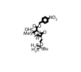 CSC1(C=O)S[C@@H]2[C@@H](CCO[Si](C)(C)C(C)(C)C)C(=O)N2C1C(=O)OCc1ccc([N+](=O)[O-])cc1